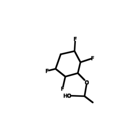 CC(O)OC1C(F)C(F)CC(F)C1F